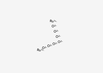 [O-2].[O-2].[O-2].[O-2].[O-2].[O-2].[O-2].[Ru+7].[Ru+7]